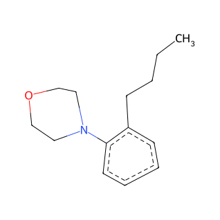 CCCCc1ccccc1N1CCOCC1